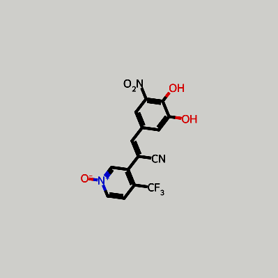 N#C/C(=C\c1cc(O)c(O)c([N+](=O)[O-])c1)c1c[n+]([O-])ccc1C(F)(F)F